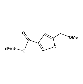 [CH2]OCc1cc(C(=O)OCCCCC)co1